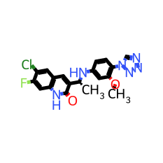 COc1cc(N[C@@H](C)c2cc3cc(Cl)c(F)cc3[nH]c2=O)ccc1-n1cnnn1